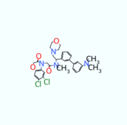 CN(C)c1cccc(-c2cccc(C(CN3CCOCC3)N(C)C(=O)CN3C(=O)COc4cc(Cl)c(Cl)cc43)c2)c1